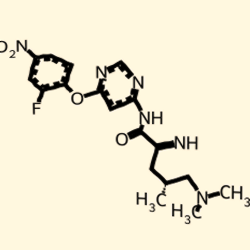 C[C@H](CC(=N)C(=O)Nc1cc(Oc2ccc([N+](=O)[O-])cc2F)ncn1)CN(C)C